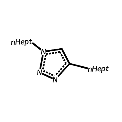 CCCCCCCc1cn(CCCCCCC)nn1